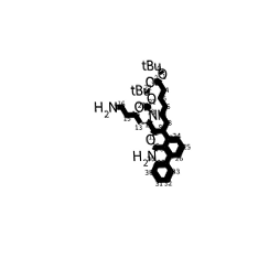 CC(C)(C)OC(=O)CCCCCC(C(=O)[C@H](CCCCN)NC(=O)OC(C)(C)C)c1cccc(-c2ccccc2)c1CN